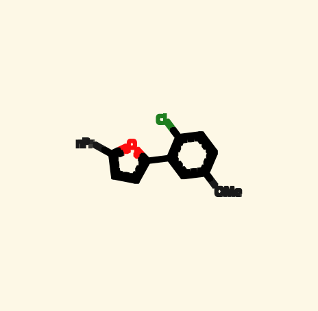 CCCc1ccc(-c2cc(OC)ccc2Cl)o1